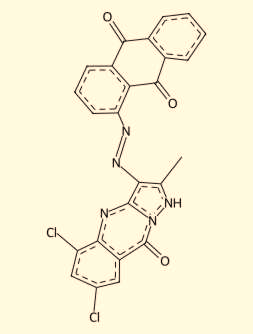 Cc1[nH]n2c(=O)c3cc(Cl)cc(Cl)c3nc2c1/N=N/c1cccc2c1C(=O)c1ccccc1C2=O